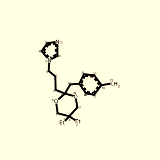 CCC1(CC)COC(CCCn2ccnc2)(Cc2ccc(C)cc2)OC1